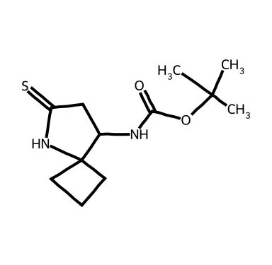 CC(C)(C)OC(=O)NC1CC(=S)NC12CCC2